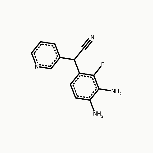 N#CC(c1cccnc1)c1ccc(N)c(N)c1F